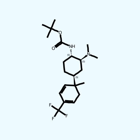 CN(C)[C@H]1C[C@@H](C2(C)C=CC(C(F)(F)F)=CC2)CC[C@@H]1NC(=O)OC(C)(C)C